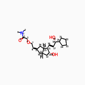 CN(C)C(=O)COCC=C1C[C@H]2C[C@@H](O)[C@H](/C=C/[C@H](O)C3CCCC3)[C@H]2C1